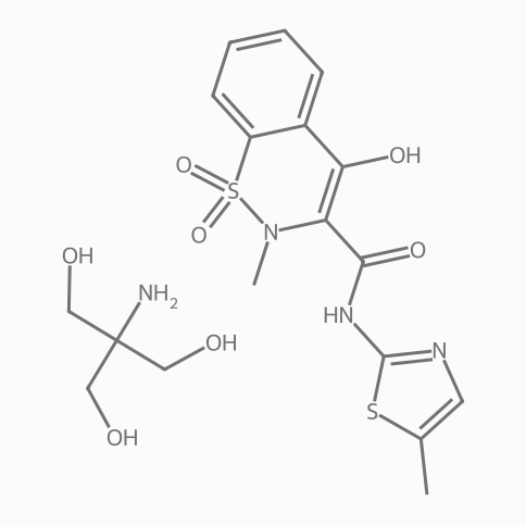 Cc1cnc(NC(=O)C2=C(O)c3ccccc3S(=O)(=O)N2C)s1.NC(CO)(CO)CO